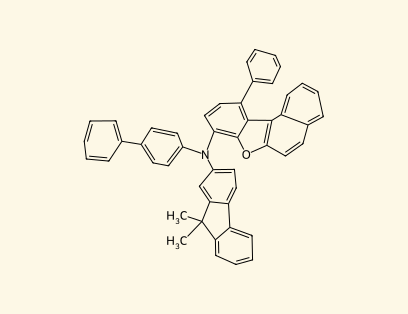 CC1(C)c2ccccc2-c2ccc(N(c3ccc(-c4ccccc4)cc3)c3ccc(-c4ccccc4)c4c3oc3ccc5ccccc5c34)cc21